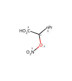 CCCC(O[N+](=O)[O-])C(=O)O